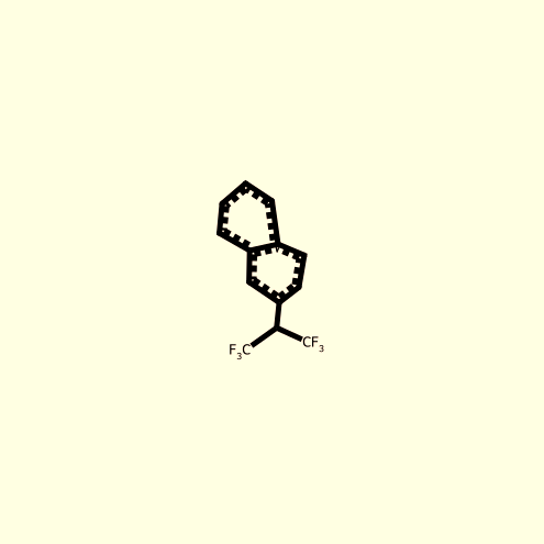 FC(F)(F)C(c1ccc2ccccc2c1)C(F)(F)F